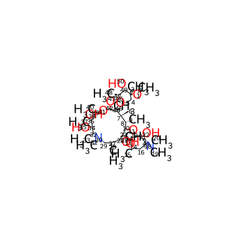 CO[C@]1(C)C[C@H](C[C@H]2[C@H](C)[C@@H](OC3O[C@H](C)C[C@H](N(C)C)[C@H]3O)[C@](C)(O)C[C@@H](C)CN(C)[C@H](C)[C@@H](O)[C@](C)(O)[C@@H](C)OC(=O)[C@@H]2C)O[C@@H](C)[C@@H]1O